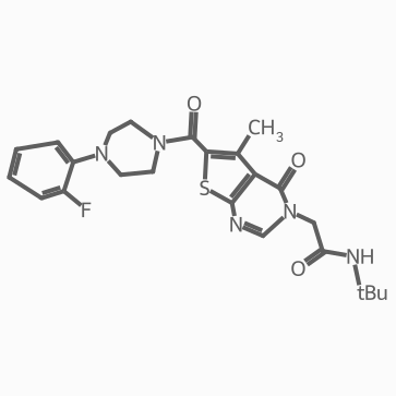 Cc1c(C(=O)N2CCN(c3ccccc3F)CC2)sc2ncn(CC(=O)NC(C)(C)C)c(=O)c12